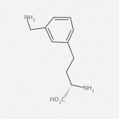 NCc1cccc(CC[C@H](N)C(=O)O)c1